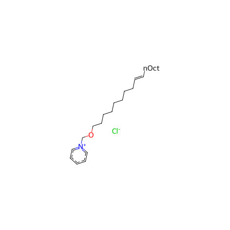 CCCCCCCCC=CCCCCCCCCOC[n+]1ccccc1.[Cl-]